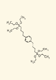 CCO[Si](CCCCc1ccc(CCCC[Si](OCC)(OCC)OCC)cc1)(OCC)OCC